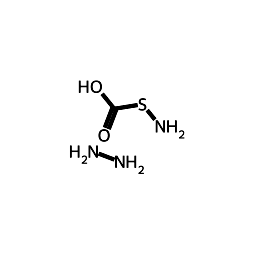 NN.NSC(=O)O